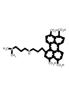 CN(C)CCCNCCCc1cc(C(=O)O)c2c(C(=O)O)ccc3c4ccc(C(=O)O)c5c(C(=O)O)ccc(c1c23)c54